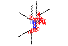 CCCCCCCCCCC[C@H](CC(=O)NC1C(OC(=O)C[C@@H](CCCCCCCCCCC)OC(=O)CCCCCCCCC)[C@H](OP(=O)(O)O)C(CO)O[C@H]1OC[C@H](NC(=O)C[C@@H](CCCCCCCCCCC)OC(=O)CCCCCCCCC)C(=O)O)OC(=O)CCCCCCCCC